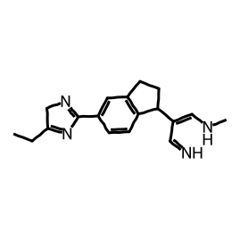 CCC1=NC(c2ccc3c(c2)CCC3/C(C=N)=C/NC)=NC1